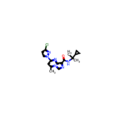 Cc1cc(-n2ccc(Cl)n2)nc2c(C(=O)NC(C)(C)C3CC3)ncn12